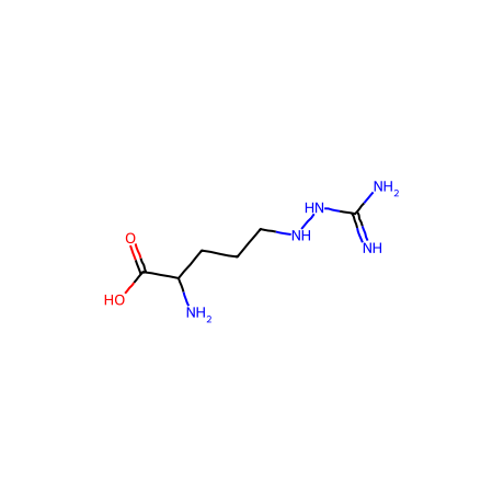 N=C(N)NNCCCC(N)C(=O)O